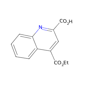 CCOC(=O)c1cc(C(=O)O)nc2ccccc12